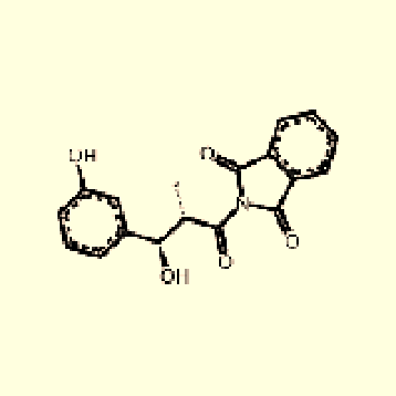 C[C@H](C(=O)N1C(=O)c2ccccc2C1=O)[C@@H](O)c1cccc(O)c1